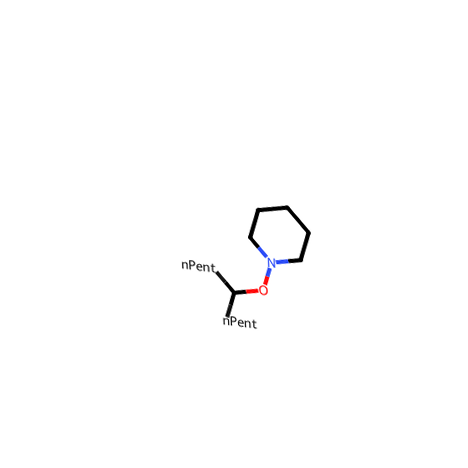 CCCCCC(CCCCC)ON1CCCCC1